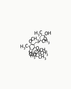 COc1c(C)c2c(c(O[Si](C)(C)C(C)(C)C)c1CC=C(C)CC(C)C(=O)O)C(=O)OC2